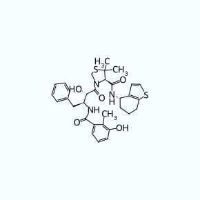 Cc1c(O)cccc1C(=O)N[C@@H](Cc1ccccc1)[C@H](O)C(=O)N1CSC(C)(C)[C@H]1C(=O)N[C@H]1CCCc2sccc21